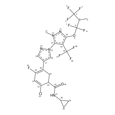 CC(C(F)(F)F)C(F)(F)Oc1nn(C)c(-n2cc(C3=C(F)C=C(Cl)C(C(=O)NC4CC4)C3)cn2)c1C(F)(F)F